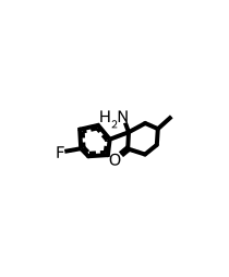 CC1CCC(=O)C(N)(c2ccc(F)cc2)C1